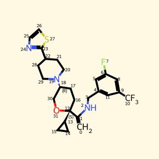 C=C(NCc1cc(F)cc(C(F)(F)F)c1)[C@@]1(C2CC2)CC[C@@H](N2CCC(c3nccs3)CC2)CO1